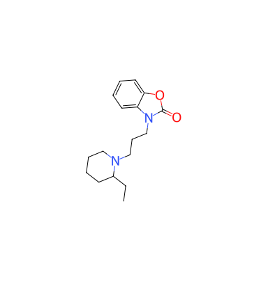 CCC1CCCCN1CCCn1c(=O)oc2ccccc21